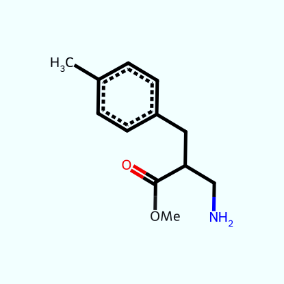 COC(=O)C(CN)Cc1ccc(C)cc1